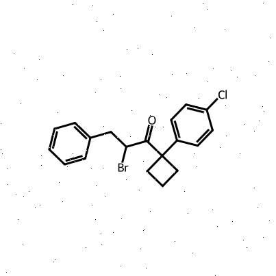 O=C(C(Br)Cc1ccccc1)C1(c2ccc(Cl)cc2)CCC1